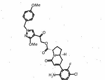 COc1ccc(Cn2cc(C(=O)COC(=O)[C@@H]3CC[C@H]4CC(c5c(N)ccc(Cl)c5F)=CC(=O)N43)c(OC)n2)cc1